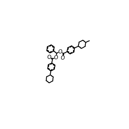 CC1CCC(c2ccc(C(=O)OC(OC(=O)c3ccc(C4CCCCC4)cc3)c3ccccc3)cc2)CC1